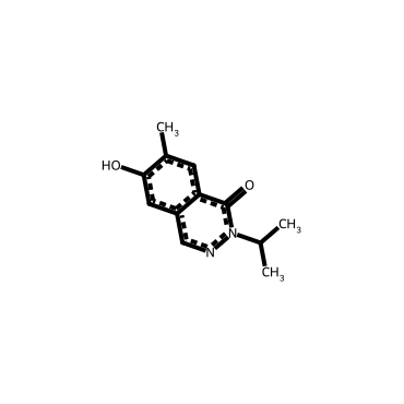 Cc1cc2c(=O)n(C(C)C)ncc2cc1O